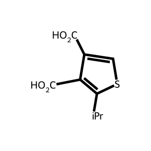 CC(C)c1scc(C(=O)O)c1C(=O)O